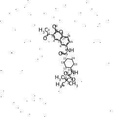 CC(=O)c1cc2cc(NC(=O)[C@H]3CC[C@H](NS(=O)(=O)C(C)(C)C)CC3)ccc2oc1=O